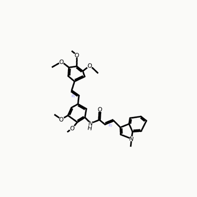 COc1cc(/C=C/c2cc(OC)c(OC)c(OC)c2)cc(NC(=O)/C=C/c2cn(C)c3ccccc23)c1OC